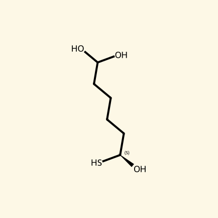 OC(O)CCCC[C@@H](O)S